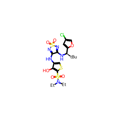 CCN(CC)S(=O)(=O)c1scc(NC2=NS(=O)(=O)N=C2N[C@@H](c2cc(Cl)co2)C(C)(C)C)c1O